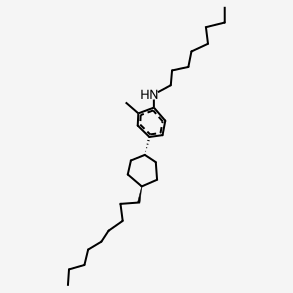 CCCCCCCCC[C@H]1CC[C@H](c2ccc(NCCCCCCCC)c(C)c2)CC1